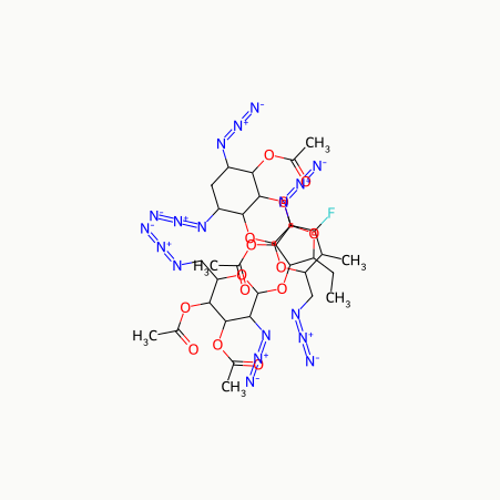 CCC1OC(OC2C(OC(C)=O)C(N=[N+]=[N-])CC(N=[N+]=[N-])C2OC2OC(CN=[N+]=[N-])C(C)C(F)C2N=[N+]=[N-])C(OC(C)=O)C1OC1OC(CN=[N+]=[N-])C(OC(C)=O)C(OC(C)=O)C1N=[N+]=[N-]